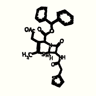 CC(=O)OCC1=C(C)S[C@@H]2C(NC(=O)Cc3cccs3)C(=O)N2C1C(=O)OC(c1ccccc1)c1ccccc1